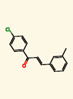 Cc1cccc(C=CC(=O)c2ccc(Cl)cc2)c1